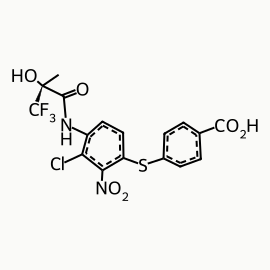 C[C@@](O)(C(=O)Nc1ccc(Sc2ccc(C(=O)O)cc2)c([N+](=O)[O-])c1Cl)C(F)(F)F